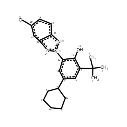 CC(C)(C)c1cc(C2CCCCC2)cc(-n2nc3ccc(Cl)cc3n2)c1O